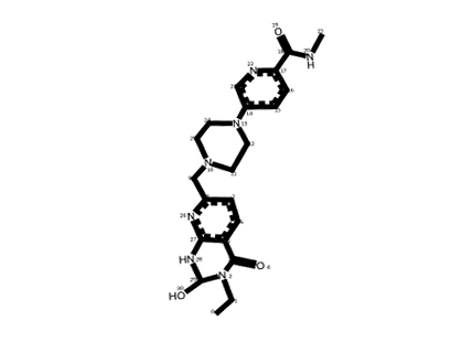 CCN1C(=O)c2ccc(CN3CCN(c4ccc(C(=O)NC)nc4)CC3)nc2NC1O